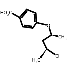 C[C@H](Cl)C[C@H](C)Oc1ccc(C(=O)O)cc1